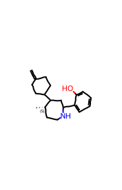 C=C1CCC(C2CC(c3ccccc3O)NCC[C@@H]2C)CC1